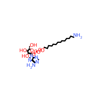 NCCCCCCCCCCCCCCOOOOO[C@@]1(n2cnc3c(N)ncnc32)O[C@H](CO)[C@@H](O)[C@H]1O